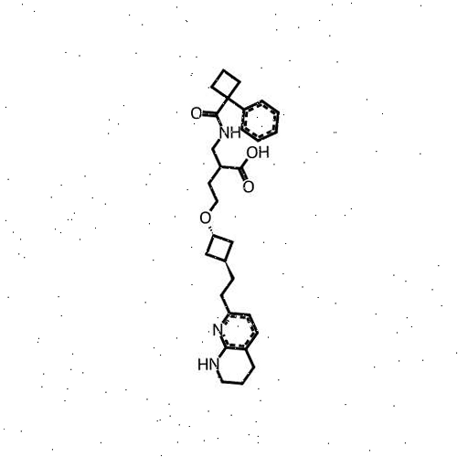 O=C(O)C(CCO[C@H]1C[C@H](CCc2ccc3c(n2)NCCC3)C1)CNC(=O)C1(c2ccccc2)CCC1